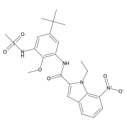 CCn1c(C(=O)Nc2cc(C(C)(C)C)cc(NS(C)(=O)=O)c2OC)cc2cccc([N+](=O)[O-])c21